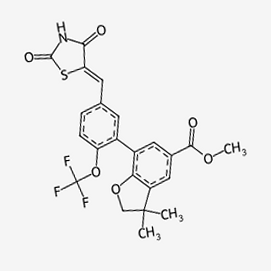 COC(=O)c1cc(-c2cc(/C=C3\SC(=O)NC3=O)ccc2OC(F)(F)F)c2c(c1)C(C)(C)CO2